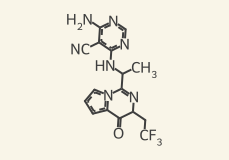 CC(Nc1ncnc(N)c1C#N)C1=NC(CC(F)(F)F)C(=O)c2cccn21